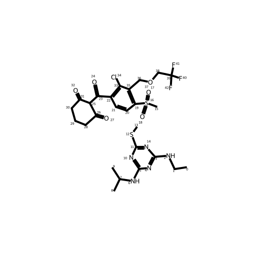 CCNc1nc(NC(C)C)nc(SC)n1.CS(=O)(=O)c1ccc(C(=O)C2C(=O)CCCC2=O)c(Cl)c1COCC(F)(F)F